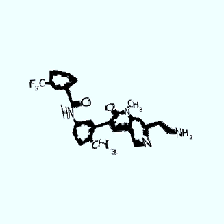 Cc1ccc(NC(=O)c2cccc(C(F)(F)F)c2)cc1-c1cc2cnc(CCN)cc2n(C)c1=O